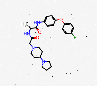 CC(NC(=O)CN1CCC(N2CCCC2)CC1)C(=O)Nc1ccc(Oc2ccc(F)cc2)cc1